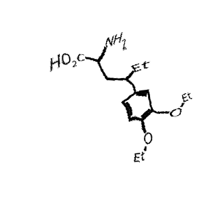 CCOc1ccc(C(CC)CC(N)C(=O)O)cc1OCC